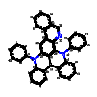 c1ccc(N2c3ccccc3B3c4ccccc4N(c4ccccc4)c4c3c2cc2c4ncc3ccccc32)cc1